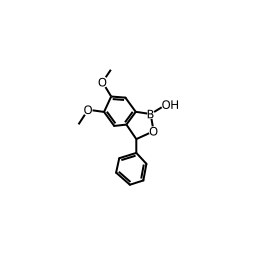 COc1cc2c(cc1OC)C(c1ccccc1)OB2O